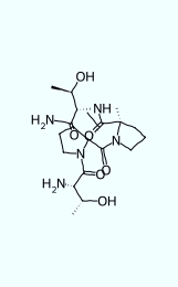 CC[C@@]1(C(=O)N2CCC[C@]2(C)C(=O)N[C@H](C(N)=O)[C@@H](C)O)CCCN1C(=O)[C@@H](N)[C@@H](C)O